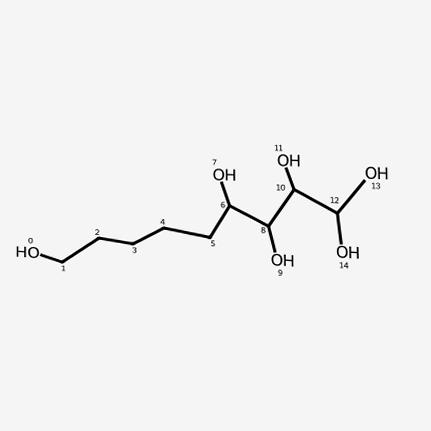 OCCCCCC(O)C(O)C(O)C(O)O